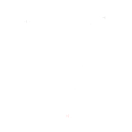 CCCCCC/C(=C\CCO)CCCCC